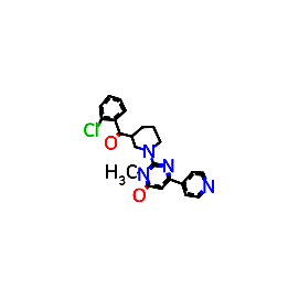 Cn1c(N2CCCC(C(=O)c3ccccc3Cl)C2)nc(-c2ccncc2)cc1=O